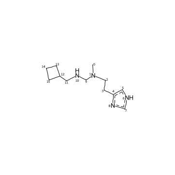 CN(CCc1c[nH]cn1)CNCC1CCC1